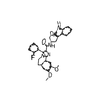 COc1cc2c(cc1OC)-c1nc(C(=O)N[C@@H](CO)Cc3c[nH]c4ccccc34)c(-c3ccccc3F)n1CC2